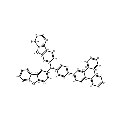 C1=Cc2c(oc3cc(N(c4ccc(-c5ccc6c7ccccc7c7ccccc7c6c5)cc4)c4ccc5oc6ccccc6c5c4)ccc23)NC1